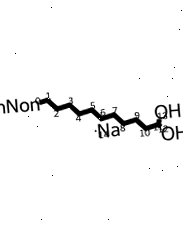 CCCCCCCCCCCCCCCCCCCC(O)O.[Na]